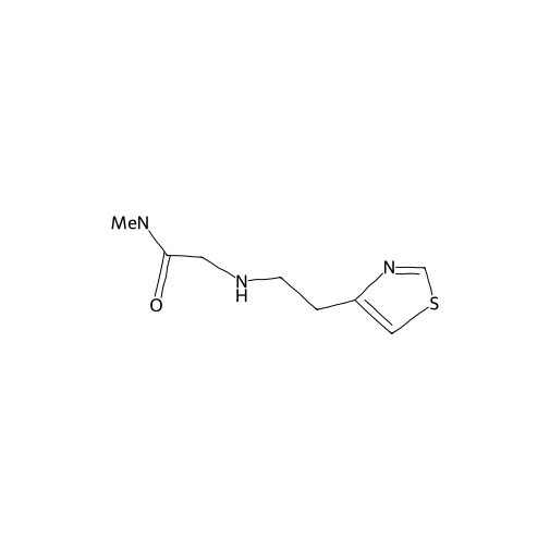 CNC(=O)CNCCc1cscn1